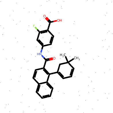 CC1(C)C=CC=C(c2c(C(=O)Nc3ccc(C(=O)O)c(F)c3)ccc3ccccc23)C1